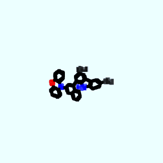 CC(C)(C)c1ccc2[nH]c3c(-c4cc(N5c6ccccc6Oc6ccccc65)cc5ccccc45)cc(C(C)(C)C)cc3c2c1